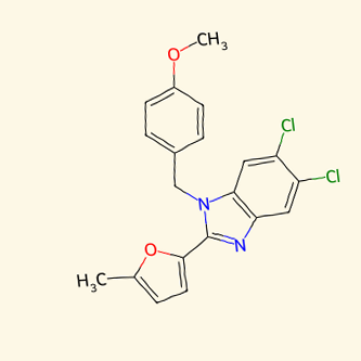 COc1ccc(Cn2c(-c3ccc(C)o3)nc3cc(Cl)c(Cl)cc32)cc1